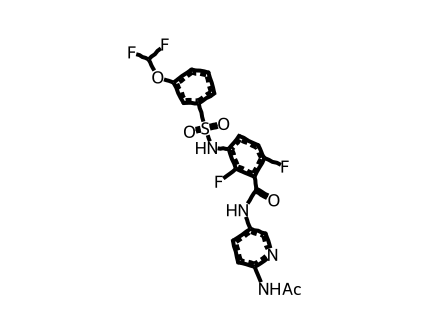 CC(=O)Nc1ccc(NC(=O)c2c(F)ccc(NS(=O)(=O)c3cccc(OC(F)F)c3)c2F)cn1